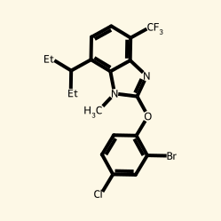 CCC(CC)c1ccc(C(F)(F)F)c2nc(Oc3ccc(Cl)cc3Br)n(C)c12